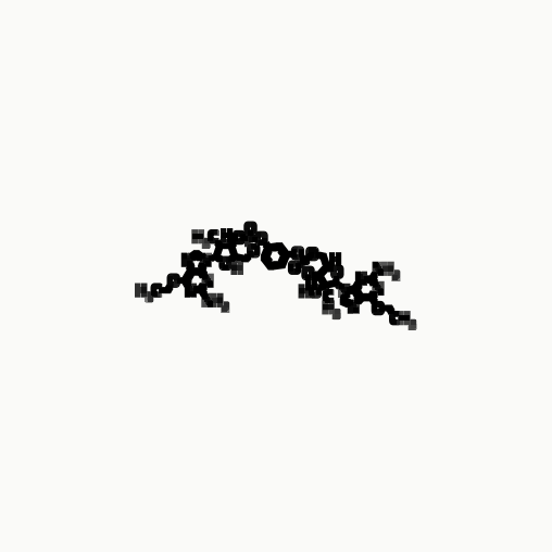 CCOc1nc(N)nc2c1ncn2[C@@H]1O[C@@H]2COP(=O)(Oc3cccc(OP4(=O)OC[C@H]5O[C@@H](n6cnc7c(OCC)nc(N)nc76)[C@](C)(O)[C@@H]5O4)c3)O[C@H]2C1C